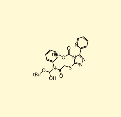 CC(C)(C)OC(=O)n1c(SCC(=O)N(c2ccccc2)C(O)OC(C)(C)C)nnc1-c1ccccn1